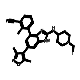 Cc1noc(C)c1-c1cc(-c2cccc(C#N)c2C)c2nc(NC3CCN(CI)CC3)[nH]c2c1